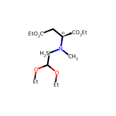 CCOC(=O)C[C@@H](C(=O)OCC)N(C)[SiH2]C(OCC)OCC